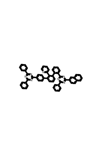 c1ccc(-c2nc(-c3ccccc3)nc(-c3ccc(-c4cccc(-c5ccccc5-c5nc(-c6ccccc6)nc(-c6ccc7ccccc7c6)n5)c4-c4ccccn4)cc3)n2)cc1